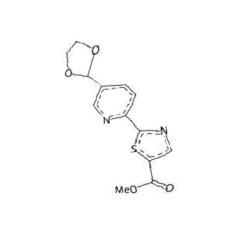 COC(=O)c1cnc(-c2ccc(C3OCCO3)cn2)s1